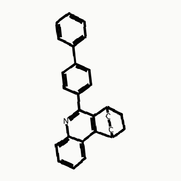 c1ccc(-c2ccc(-c3nc4ccccc4c4c3C3CCC4CC3)cc2)cc1